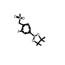 CC1(C)OB(c2ccc(CS(C)(=O)=O)c(F)c2)OC1(C)C